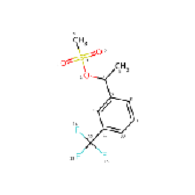 CC(OS(C)(=O)=O)c1cccc(C(F)(F)F)c1